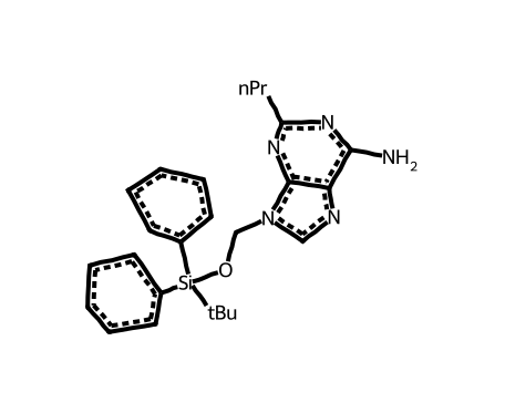 CCCc1nc(N)c2ncn(CO[Si](c3ccccc3)(c3ccccc3)C(C)(C)C)c2n1